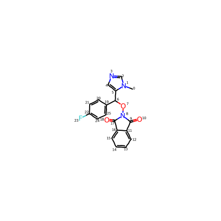 Cn1cncc1C(ON1C(=O)c2ccccc2C1=O)c1ccc(F)cc1